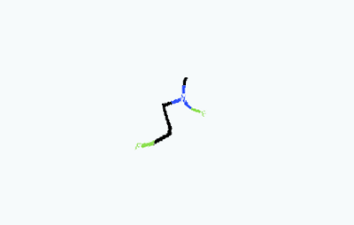 CN(F)CCF